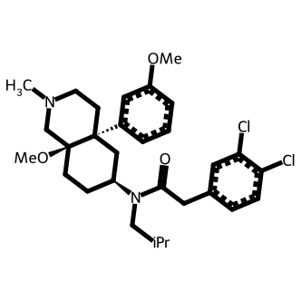 COc1cccc([C@@]23CCN(C)C[C@@]2(OC)CC[C@H](N(CC(C)C)C(=O)Cc2ccc(Cl)c(Cl)c2)C3)c1